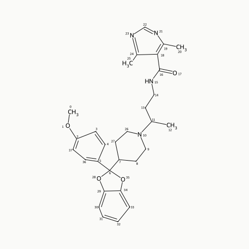 COc1ccc(C2(C3CCN(C(C)CCNC(=O)c4c(C)ncnc4C)CC3)Oc3ccccc3O2)cc1